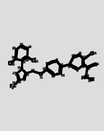 CCNC(=O)c1cc(-c2ccc(OCc3cc(C(F)(F)F)nn3-c3c(Cl)cccc3Cl)cc2)ccc1Cl